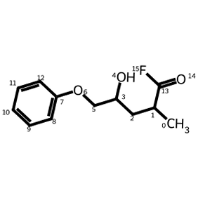 CC(CC(O)COc1ccccc1)C(=O)F